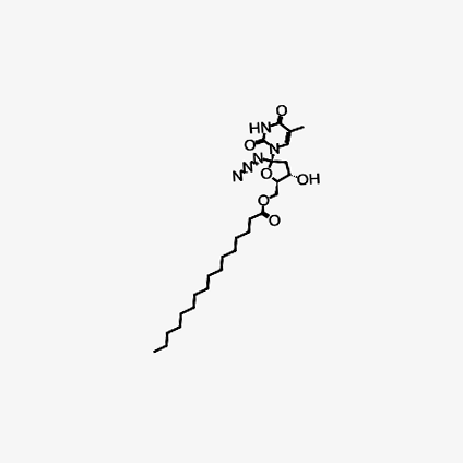 CCCCCCCCCCCCCCCC(=O)OC[C@H]1O[C@@](N=[N+]=[N-])(n2cc(C)c(=O)[nH]c2=O)C[C@@H]1O